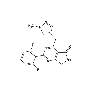 Cn1cc(Cc2nc(-c3c(F)cccc3F)nc3c2C(=O)NC3)cn1